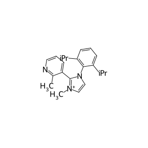 Cc1ncccc1-c1n(-c2c(C(C)C)cccc2C(C)C)cc[n+]1C